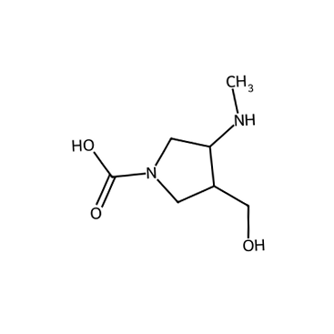 CNC1CN(C(=O)O)CC1CO